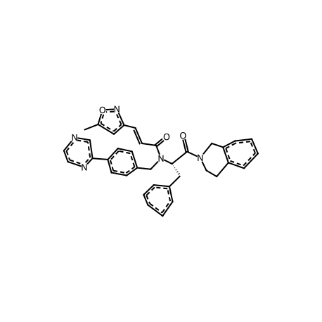 Cc1cc(C=CC(=O)N(Cc2ccc(-c3cnccn3)cc2)[C@@H](Cc2ccccc2)C(=O)N2CCc3ccccc3C2)no1